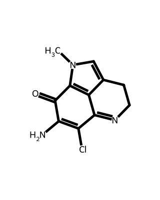 Cn1cc2c3c1C(=O)C(N)=C(Cl)C3=NCC2